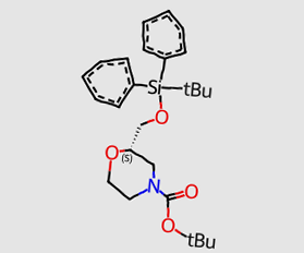 CC(C)(C)OC(=O)N1CCO[C@H](CO[Si](c2ccccc2)(c2ccccc2)C(C)(C)C)C1